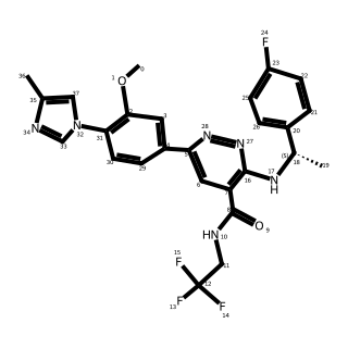 COc1cc(-c2cc(C(=O)NCC(F)(F)F)c(N[C@@H](C)c3ccc(F)cc3)nn2)ccc1-n1cnc(C)c1